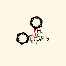 C=C.C=C.c1ccc(Oc2ccccc2)cc1